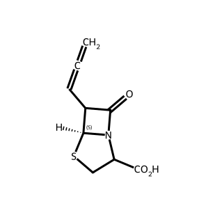 C=C=CC1C(=O)N2C(C(=O)O)CS[C@@H]12